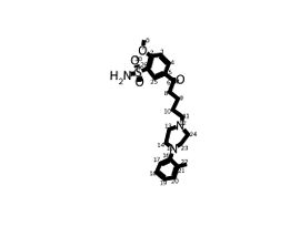 COc1ccc(C(=O)CCCCN2CCN(c3ccccc3C)CC2)cc1S(N)(=O)=O